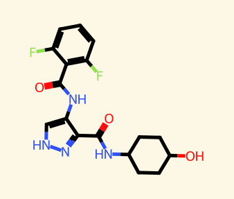 O=C(NC1CCC(O)CC1)c1n[nH]cc1NC(=O)c1c(F)cccc1F